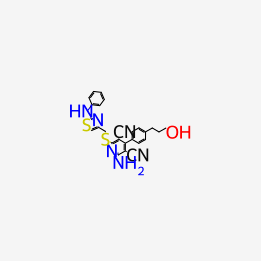 N#Cc1c(N)nc(SCc2csc(Nc3ccccc3)n2)c(C#N)c1-c1ccc(CCCO)cc1